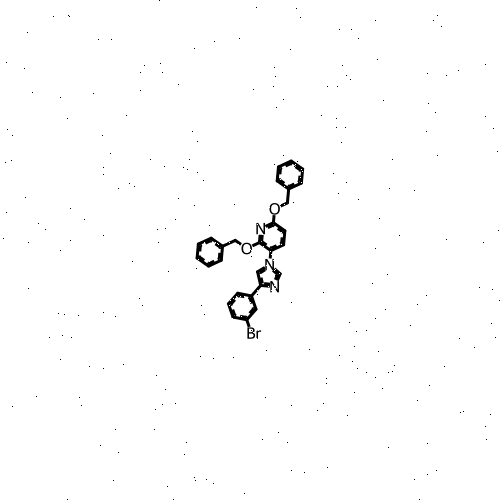 Brc1cccc(-c2cn(-c3ccc(OCc4ccccc4)nc3OCc3ccccc3)cn2)c1